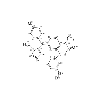 CCOc1cccc(-c2cc(=O)n(C)c3ccc(C(c4ccc(Cl)cc4)c4cncn4C)cc23)c1